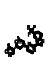 Cc1oncc1[C@H]1CN(c2ccnc(-c3cnc4ccc(C(F)(F)F)cn34)n2)C[C@H](C)O1